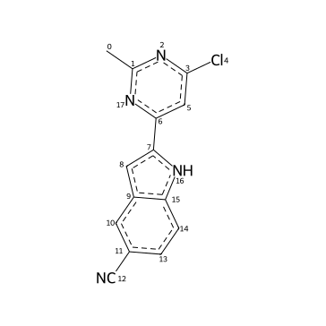 Cc1nc(Cl)cc(-c2cc3cc(C#N)ccc3[nH]2)n1